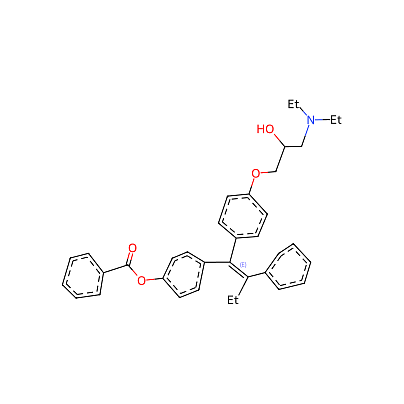 CC/C(=C(/c1ccc(OCC(O)CN(CC)CC)cc1)c1ccc(OC(=O)c2ccccc2)cc1)c1ccccc1